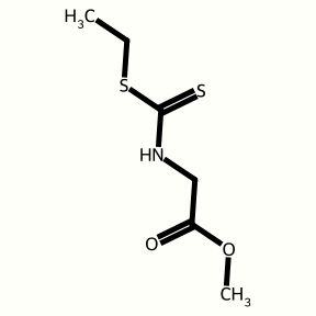 CCSC(=S)NCC(=O)OC